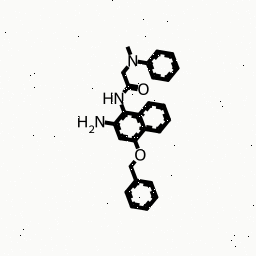 CN(CC(=O)Nc1c(N)cc(OCc2ccccc2)c2ccccc12)c1ccccc1